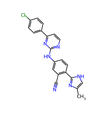 Cc1c[nH]c(-c2ccc(Nc3nccc(-c4ccc(Cl)cc4)n3)cc2C#N)n1